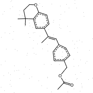 CC(=O)OCc1ccc(C=C(C)c2ccc3c(c2)C(C)(C)CCO3)cc1